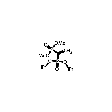 C=C(P(=O)(OC)OC)P(=O)(OC(C)C)OC(C)C